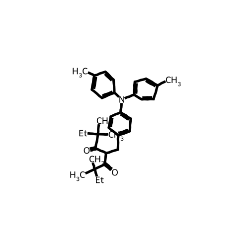 CCC(C)(C)C(=O)C(Cc1ccc(N(c2ccc(C)cc2)c2ccc(C)cc2)cc1)C(=O)C(C)(C)CC